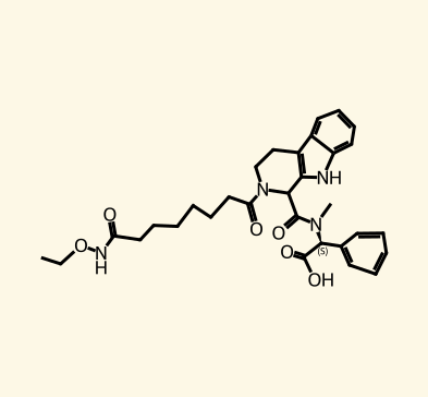 CCONC(=O)CCCCCCC(=O)N1CCc2c([nH]c3ccccc23)C1C(=O)N(C)[C@H](C(=O)O)c1ccccc1